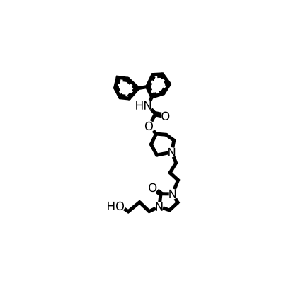 O=C(Nc1ccccc1-c1ccccc1)OC1CCN(CCCN2CCN(CCCO)C2=O)CC1